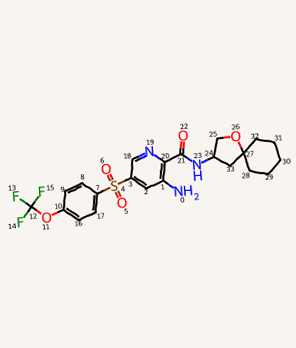 Nc1cc(S(=O)(=O)c2ccc(OC(F)(F)F)cc2)cnc1C(=O)NC1COC2(CCCCC2)C1